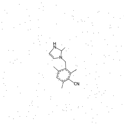 Cc1cc(C)c(CN2C=CNC2C)c(C)c1C#N